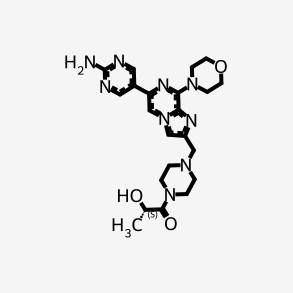 C[C@H](O)C(=O)N1CCN(Cc2cn3cc(-c4cnc(N)nc4)nc(N4CCOCC4)c3n2)CC1